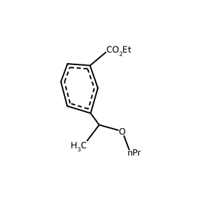 CCCOC(C)c1cccc(C(=O)OCC)c1